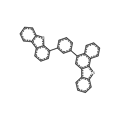 c1cc(-c2cc3c4ccccc4sc3c3ccccc23)cc(-c2cccc3c2sc2ccccc23)c1